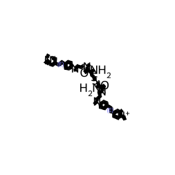 CC[n+]1ccc(/C=C/c2ccc(N(C)CCCN(C)C(=O)C(N)CSSCC(N)C(=O)N(C)CCCN(C)c3ccc(/C=C/C4=CC5C[N@@+]5(CC)C=C4)cc3)cc2)cc1C